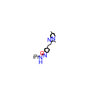 Cc1ccn2c(C)c(CCc3ccc4nc(NC(C)C)oc4c3)nc2c1